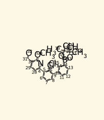 COc1nc(-c2cccc(-c3cccc(B4OC(C)(C)C(C)(C)O4)c3Cl)c2Cl)ccc1C=O